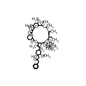 CCC1/C=C(\C)CC(C)CC(OC)C2OC(O)(C(=O)C(=O)N3CCCCC3C(=O)OC(C(C)=CC3CCC(O)(CC(=O)Cc4ccccc4)C(OC)C3)C(C)C(O[Si](C)(C)C(C)(C)C)CC1=O)C(C)CC2OC